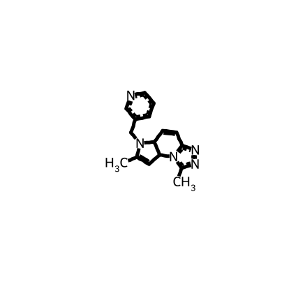 CC1=CC2C(C=Cc3nnc(C)n32)N1Cc1cccnc1